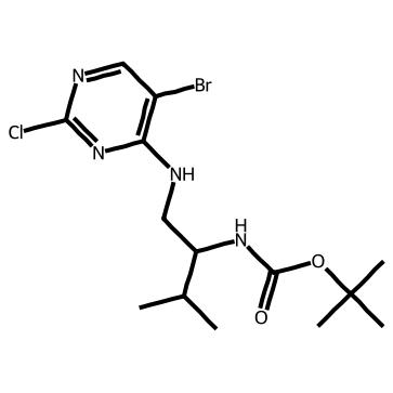 CC(C)C(CNc1nc(Cl)ncc1Br)NC(=O)OC(C)(C)C